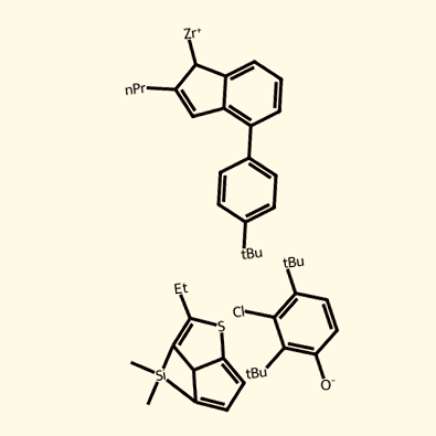 CC(C)(C)c1ccc([O-])c(C(C)(C)C)c1Cl.CCC1=C2C3C(=CC=C3[Si]2(C)C)S1.CCCC1=Cc2c(-c3ccc(C(C)(C)C)cc3)cccc2[CH]1[Zr+]